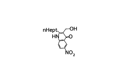 CCCCCCCc1[nH]c2ccc([N+](=O)[O-])cc2c(=O)c1CO